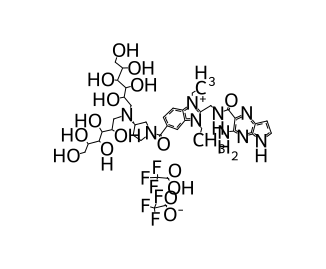 CCn1c(CNC(=O)c2nc3cc[nH]c3nc2N)[n+](CC)c2ccc(C(=O)N3CC[C@@H](N(CC(O)C(O)C(O)C(O)CO)CC(O)C(O)C(O)C(O)CO)C3)cc21.O=C(O)C(F)(F)F.O=C([O-])C(F)(F)F